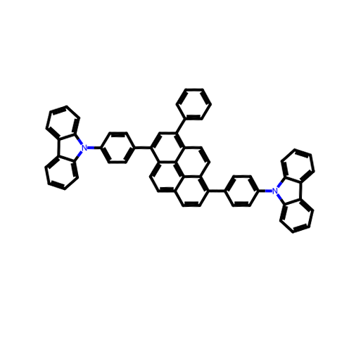 c1ccc(-c2cc(-c3ccc(-n4c5ccccc5c5ccccc54)cc3)c3ccc4ccc(-c5ccc(-n6c7ccccc7c7ccccc76)cc5)c5ccc2c3c45)cc1